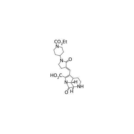 CCOC(=O)N1CCC(N2CC/C(=C\C3=C(C(=O)O)N4C(=O)[C@H]5NCCC3[C@H]54)C2=O)CC1